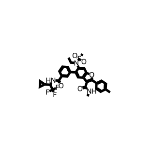 CCN(c1cc2oc(-c3ccc(C)cc3)c(C(=O)NC)c2cc1-c1cccc(C(=O)NC(C2CC2)C(F)(F)F)c1)S(C)(=O)=O